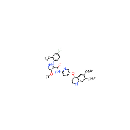 CCOc1cnn(-c2ccc(Cl)cc2C(F)(F)F)c1C(=O)Nc1ccc(Oc2ccnc3cc(OC)c(OC)cc23)cn1